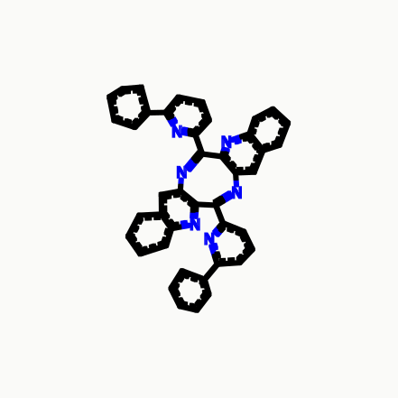 c1ccc(-c2cccc(/C3=N/c4cc5ccccc5nc4/C(c4cccc(-c5ccccc5)n4)=N\c4cc5ccccc5nc43)n2)cc1